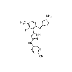 Cc1ccc(O[C@@H]2CC[C@@H](N)C2)c(-c2cc(Nc3cnc(C#N)cn3)n[nH]2)c1F